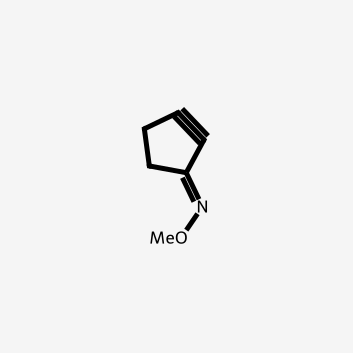 CON=C1C#CCC1